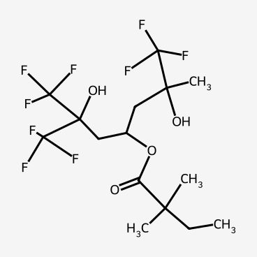 CCC(C)(C)C(=O)OC(CC(C)(O)C(F)(F)F)CC(O)(C(F)(F)F)C(F)(F)F